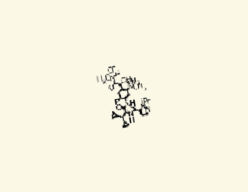 CC(C)n1nccc1C(=O)N[C@H](C(=O)Nc1cc(N(C)C)c([C@@H](C)C(=O)N(C)CC(F)(F)F)cc1F)C(C1CC1)C1CC1